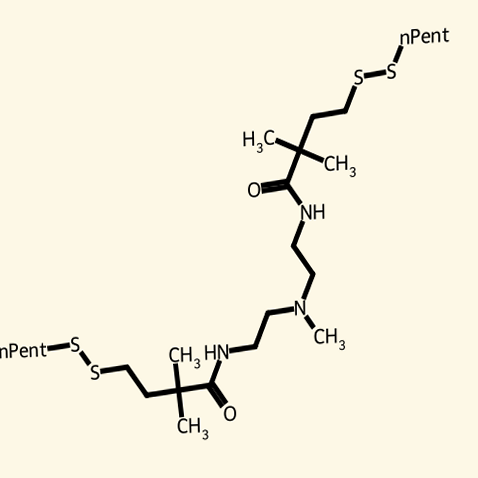 CCCCCSSCCC(C)(C)C(=O)NCCN(C)CCNC(=O)C(C)(C)CCSSCCCCC